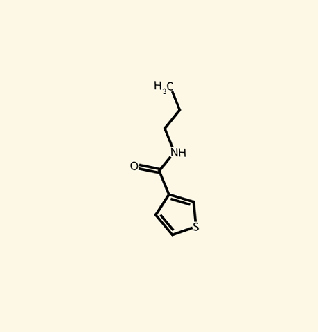 CCCNC(=O)c1ccsc1